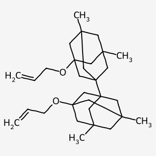 C=CCOC12CC3(C)CC(C)(C1)CC(C14CC5(C)CC(C)(CC(OCC=C)(C5)C1)C4)(C3)C2